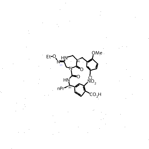 CCC[C@@H](NC(=O)N1C/C(=N/OCC)NC[C@@H](Cc2cc(Cl)ccc2OC)C1=O)c1ccc(C(=O)O)c([N+](=O)[O-])c1